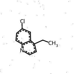 CCc1ccnc2ccc(Cl)cc12